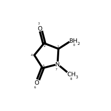 BC1C(=O)CC(=O)N1C